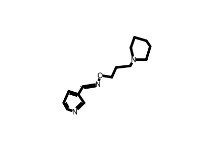 [C](=NOCCCN1CCCCC1)c1cccnc1